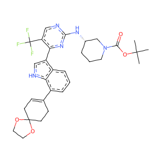 CC(C)(C)OC(=O)N1CCC[C@H](Nc2ncc(C(F)(F)F)c(-c3c[nH]c4c(C5=CCC6(CC5)OCCO6)cccc34)n2)C1